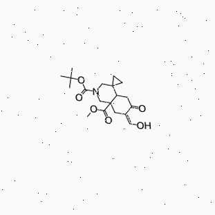 COC(=O)C12C/C(=C/O)C(=O)CC1C1(CC1)CN(C(=O)OC(C)(C)C)C2